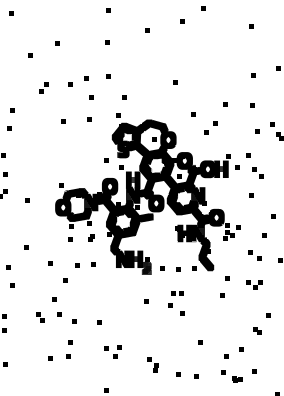 CCCNC(=O)c1ccc(-c2cc3c(cc2C(=O)Nc2c(C)cc(CN)cc2C(=O)N2CCOCC2)-c2sccc2CCO3)c(C(=O)O)n1